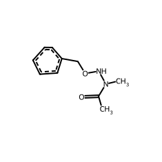 CC(=O)N(C)NOCc1ccccc1